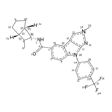 CC1[C@@H](NC(=O)c2ccc3c(c2)c2cn(C)nc2n3-c2ccc(C(F)(F)F)cc2)[C@H]2CCC[C@@H]12